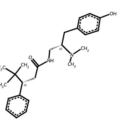 CN(C)[C@H](CNC(=O)C[C@H](c1ccccc1)C(C)(C)C)Cc1ccc(O)cc1